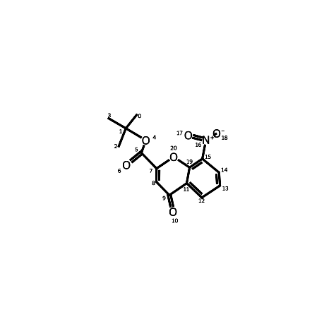 CC(C)(C)OC(=O)c1cc(=O)c2cccc([N+](=O)[O-])c2o1